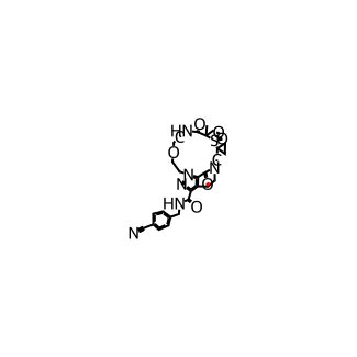 CC1(C)C(=O)NCCOCCn2nc(C(=O)NCc3ccc(C#N)cc3)c3c2C(=O)N(CC3)CC2(CC2)S1(=O)=O